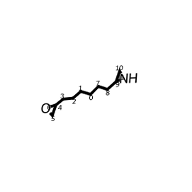 C(CCCC1CO1)CCC1CN1